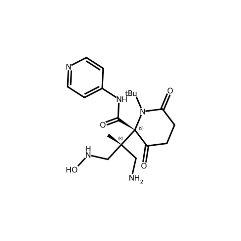 CC(C)(C)N1C(=O)CCC(=O)[C@]1(C(=O)Nc1ccncc1)[C@](C)(CN)CNO